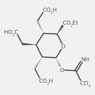 CCOC(=O)[C@H]1O[C@H](OC(=N)C(Cl)(Cl)Cl)[C@H](CC(=O)O)[C@@H](CC(=O)O)[C@@H]1CC(=O)O